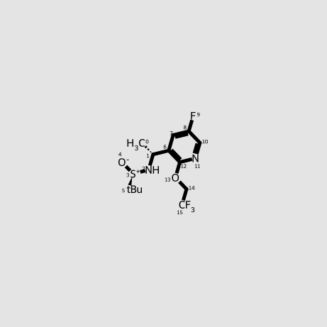 C[C@@H](N[S@+]([O-])C(C)(C)C)c1cc(F)cnc1OCC(F)(F)F